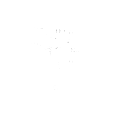 CN1C(=O)[C@@]2([C@@H](O)C3C=CCCC3)[C@@H]1C(CCCl)=C[S+]2[O-]